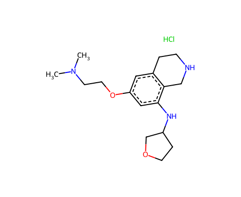 CN(C)CCOc1cc2c(c(NC3CCOC3)c1)CNCC2.Cl